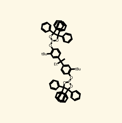 CCC(C)(c1ccc(OP2OC(c3ccccc3)(c3ccccc3)C(c3ccccc3)(c3ccccc3)O2)c(C(C)(C)C)c1)c1ccc(OP2OC(c3ccccc3)(c3ccccc3)C(c3ccccc3)(c3ccccc3)O2)c(C(C)(C)C)c1